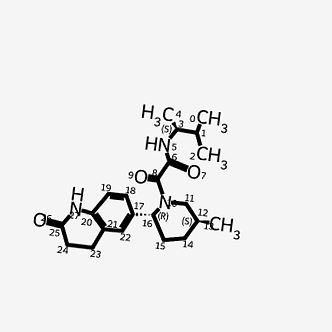 CC(C)[C@H](C)NC(=O)C(=O)N1C[C@@H](C)CC[C@@H]1c1ccc2c(c1)CCC(=O)N2